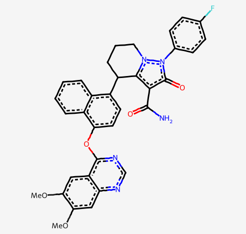 COc1cc2ncnc(Oc3ccc(C4CCCn5c4c(C(N)=O)c(=O)n5-c4ccc(F)cc4)c4ccccc34)c2cc1OC